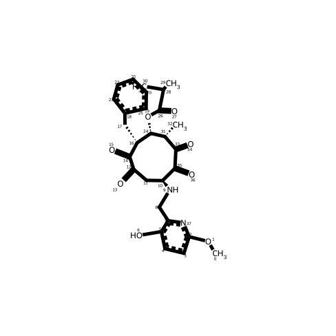 COc1ccc(O)c(CN[C@H]2CC(=O)C(=O)[C@H](Cc3ccccc3)[C@H](OC(=O)C(C)C)[C@H](C)C(=O)C2=O)n1